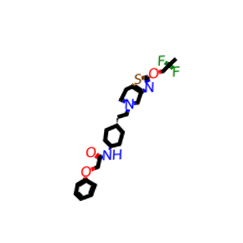 CC(F)(F)COc1nc2c(s1)CCN(CC[C@H]1CC[C@H](NC(=O)COc3ccccc3)CC1)C2